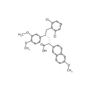 COc1ccc2cc([C@@H](C[C@@H](Cc3c(Cl)cncc3Cl)c3ccc(OC)c(OC)c3)C(=O)O)ccc2c1